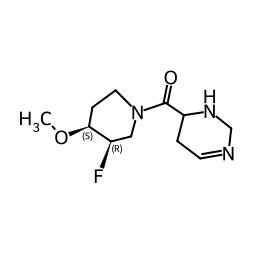 CO[C@H]1CCN(C(=O)C2CC=NCN2)C[C@H]1F